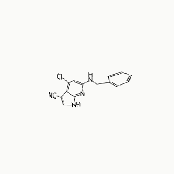 N#Cc1c[nH]c2nc(NCc3ccccc3)cc(Cl)c12